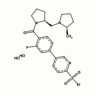 CCS(=O)(=O)c1ccc(-c2ccc(C(=O)N3CCC[C@H]3CN3CCC[C@H]3C)c(F)c2)cn1.Cl.Cl